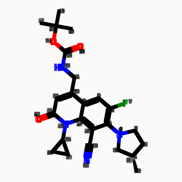 C[C@H]1CCN(c2c(F)cc3c(CNC(=O)OC(C)(C)C)cc(=O)n(C4CC4)c3c2C#N)C1